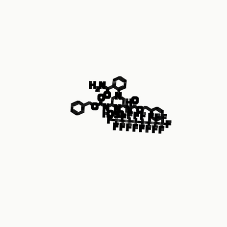 NC(=O)c1ccccc1N1CC(NC(=O)OCc2ccccc2)N(S(=O)(=O)C(F)(F)C(F)(F)C(F)(F)C(F)(F)C(F)(F)C(F)(F)C(F)(F)C(F)(F)F)C(NC(=O)OCc2ccccc2)C1